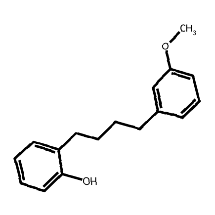 COc1cccc(CCCCc2ccccc2O)c1